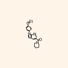 CCOc1ccc(-n2ccc3cc(C(=O)N4CCCCC4)cnc32)cc1